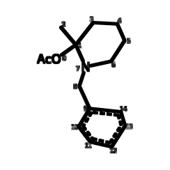 CC(=O)OC1(C)CCCCN1Cc1ccccc1